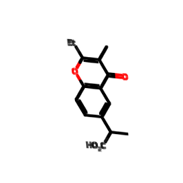 CCc1oc2ccc(C(C)C(=O)O)cc2c(=O)c1C